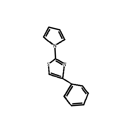 c1ccc(-c2csc(-n3cccc3)n2)cc1